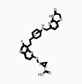 O=C1COc2ccc(CNC34CCC(CCc5c(F)cnc6ccc(OC[C@@H]7C[C@@H]7C(=O)O)nc56)(CC3)OC4)nc2N1